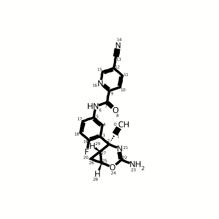 C#C[C@]1(c2cc(NC(=O)c3ccc(C#N)cn3)ccc2F)N=C(N)O[C@@H]2C[C@@H]21